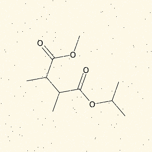 COC(=O)C(C)C(C)C(=O)OC(C)C